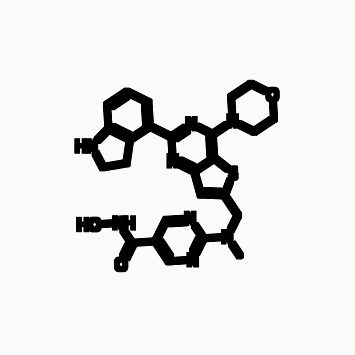 CN(Cc1cc2nc(-c3cccc4c3CCN4)nc(N3CCOCC3)c2s1)c1ncc(C(=O)NO)cn1